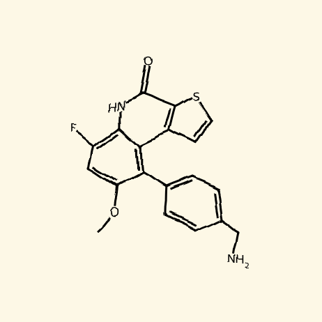 COc1cc(F)c2[nH]c(=O)c3sccc3c2c1-c1ccc(CN)cc1